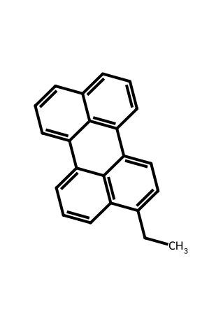 CCc1ccc2c3cccc4cccc(c5cccc1c52)c43